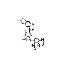 C=Cc1cnc(Nc2cc3c(cc2F)CCN(C)C3)nc1Nc1ccc2nccnc2c1N(C)SC